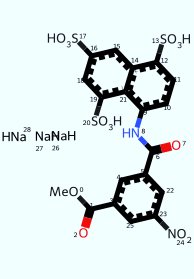 COC(=O)c1cc(C(=O)Nc2ccc(S(=O)(=O)O)c3cc(S(=O)(=O)O)cc(S(=O)(=O)O)c23)cc([N+](=O)[O-])c1.[NaH].[NaH].[NaH]